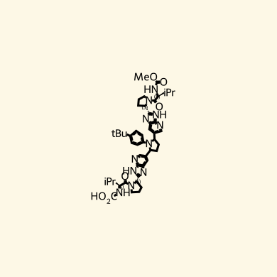 COC(=O)N[C@H](C(=O)N1CCC[C@H]1c1nc2cc(C3CCC(c4cnc5[nH]c([C@@H]6CCCN6C(=O)[C@@H](NC(=O)O)C(C)C)nc5c4)N3c3ccc(C(C)(C)C)cc3)cnc2[nH]1)C(C)C